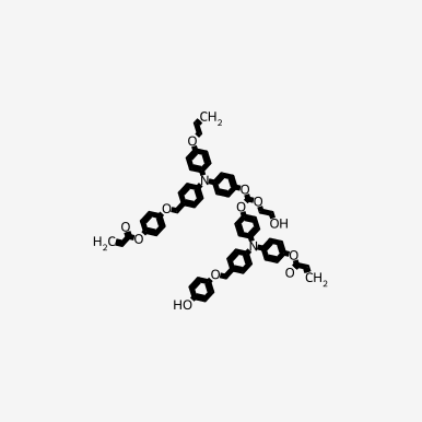 C=CCOc1ccc(N(c2ccc(COc3ccc(OC(=O)C=C)cc3)cc2)c2ccc(OC(OCCO)Oc3ccc(N(c4ccc(COc5ccc(O)cc5)cc4)c4ccc(OC(=O)C=C)cc4)cc3)cc2)cc1